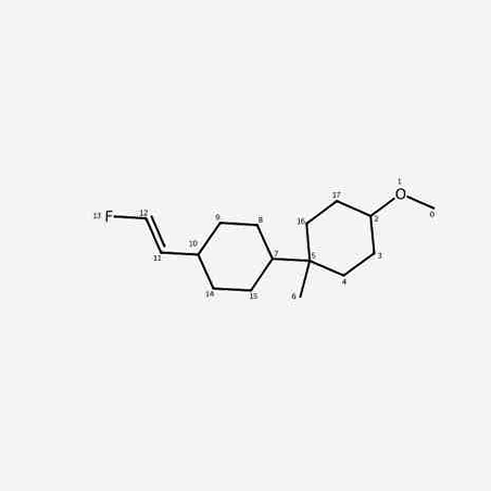 COC1CCC(C)(C2CCC(C=CF)CC2)CC1